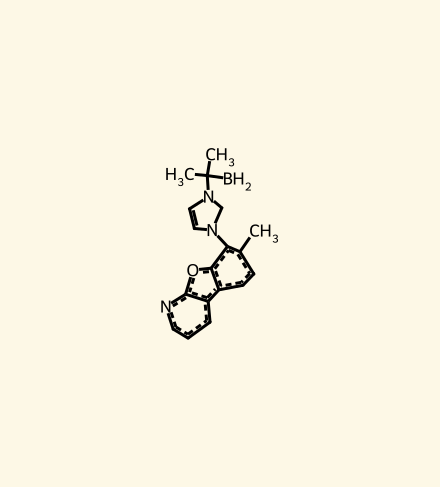 BC(C)(C)N1C=CN(c2c(C)ccc3c2oc2ncccc23)C1